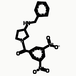 O=C(c1cc([N+](=O)[O-])cc([N+](=O)[O-])c1)N1CCC(NCc2ccccc2)C1